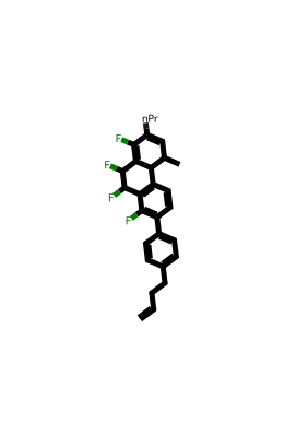 C=CCCc1ccc(-c2ccc3c(c2F)C(F)C(F)C2=C(F)C(CCC)=CC(C)C23)cc1